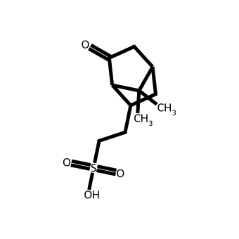 CC1(C)C2CC(=O)C1C(CCS(=O)(=O)O)C2